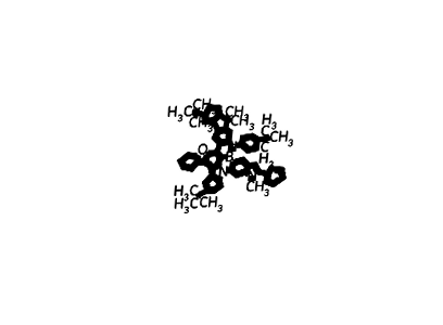 Cn1c(-c2ccccc2)cc2cc3c(cc21)-n1c2ccc(C(C)(C)C)cc2c2c4c(oc5ccccc54)c4c(c21)B3N(c1ccc(C(C)(C)C)cc1)c1cc2c(cc1-4)-c1cc(C(C)(C)C)ccc1C2(C)C